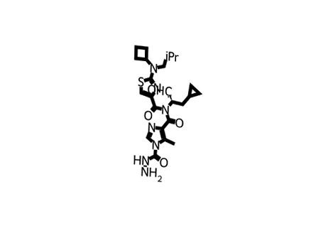 Cc1c(C(=O)N(C(=O)c2csc(N(CC(C)C)C3CCC3)n2)[C@H]([C]=O)CC2CC2)ncn1C(=O)NN